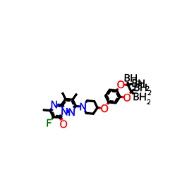 BC1(B)Oc2ccc(OC3CCN(c4nn5c(=O)c(F)c(C)nc5c(C)c4C)CC3)cc2OC1(B)B